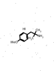 COc1ccc(CC(C)(C)N)cc1.I